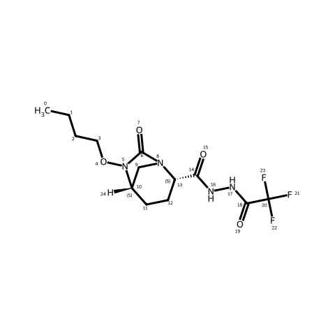 CCCCON1C(=O)N2C[C@@H]1CC[C@H]2C(=O)NNC(=O)C(F)(F)F